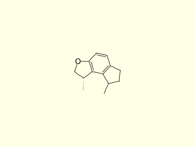 CC1CCc2ccc3c(c21)[C@H](C)CO3